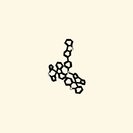 c1ccc2c(c1)Oc1ccccc1C21c2ccccc2-c2ccc(N(c3ccc(-c4ccc5c(c4)sc4ccccc45)cc3)c3cccc4c3-c3ccccc3C43c4ccccc4Sc4ccccc43)cc21